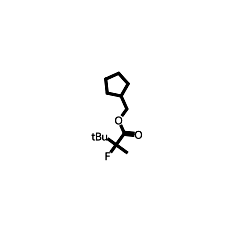 CC(C)(C)C(C)(F)C(=O)OCC1CCCC1